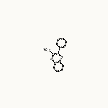 O=S(=O)(O)c1nc2ccccc2nc1-c1ccccc1